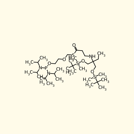 CCC(CO[Si](C)(C)C(C)(C)C)(CO[Si](C)(C)C(C)(C)C)NCCC(=O)SCOCCOP(N(C(C)C)C(C)C)N(C(C)C)C(C)C